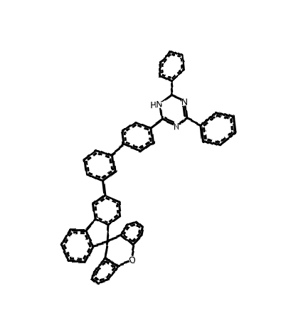 c1ccc(C2=NC(c3ccccc3)NC(c3ccc(-c4cccc(-c5ccc6c(c5)-c5ccccc5C65c6ccccc6Oc6ccccc65)c4)cc3)=N2)cc1